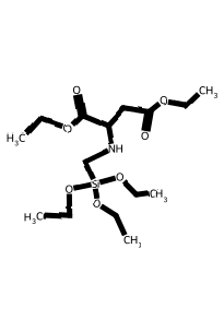 CCOC(=O)CC(NC[Si](OCC)(OCC)OCC)C(=O)OCC